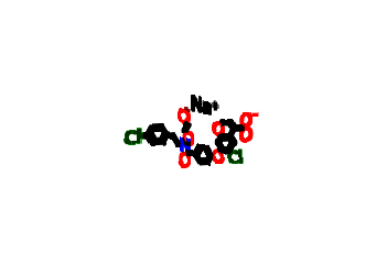 COCCON(CCc1ccc(Cl)cc1)C(=O)c1ccc(Oc2cc3c(cc2Cl)C(C(=O)[O-])CCO3)cc1.[Na+]